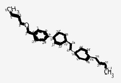 CC=CCOCc1ccc([C@H]2CC[C@H](CC[C@H]3CC[C@H](CC=CC)CC3)CC2)cc1